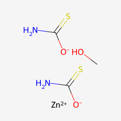 CO.NC([O-])=S.NC([O-])=S.[Zn+2]